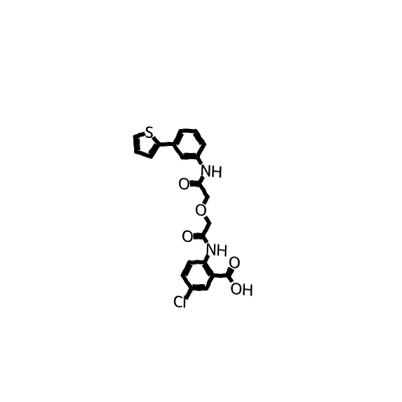 O=C(COCC(=O)Nc1ccc(Cl)cc1C(=O)O)Nc1cccc(-c2cccs2)c1